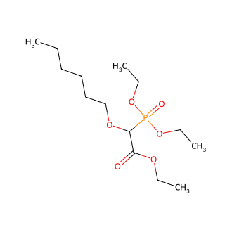 CCCCCCOC(C(=O)OCC)P(=O)(OCC)OCC